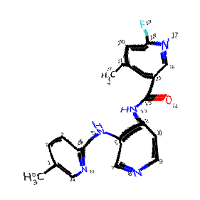 Cc1ccc(Nc2cnccc2NC(=O)c2cnc(F)cc2C)nc1